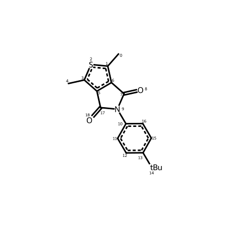 Cc1sc(C)c2c1C(=O)N(c1ccc(C(C)(C)C)cc1)C2=O